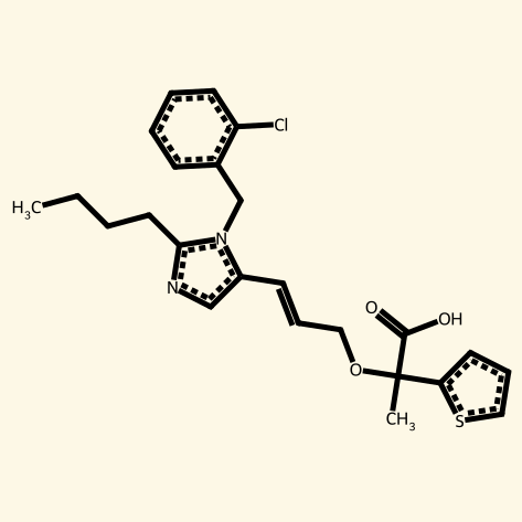 CCCCc1ncc(/C=C/COC(C)(C(=O)O)c2cccs2)n1Cc1ccccc1Cl